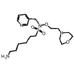 NCCCCCCS(=O)(=O)N(Cc1cccnc1)OCCN1CCOCC1